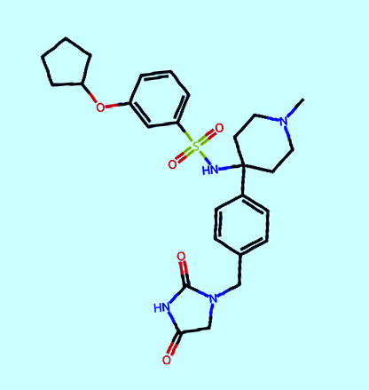 CN1CCC(NS(=O)(=O)c2cccc(OC3CCCC3)c2)(c2ccc(CN3CC(=O)NC3=O)cc2)CC1